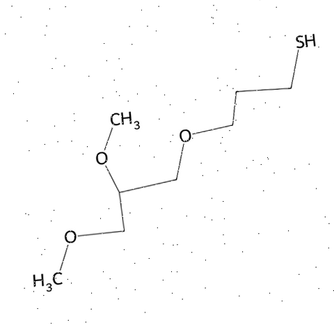 COCC(COCCCS)OC